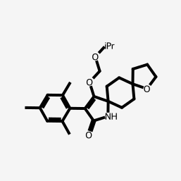 Cc1cc(C)c(C2=C(OCOC(C)C)C3(CCC4(CCCO4)CC3)NC2=O)c(C)c1